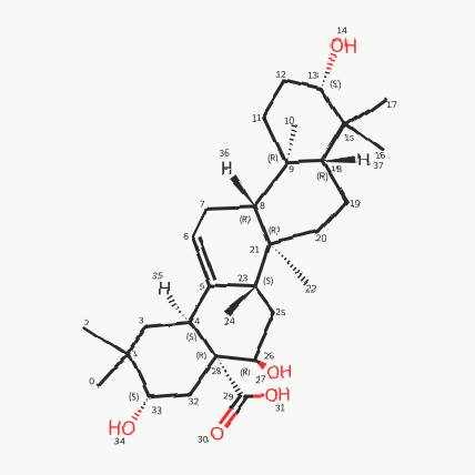 CC1(C)C[C@H]2C3=CC[C@@H]4[C@@]5(C)CC[C@H](O)C(C)(C)[C@@H]5CC[C@@]4(C)[C@]3(C)C[C@@H](O)[C@@]2(C(=O)O)C[C@@H]1O